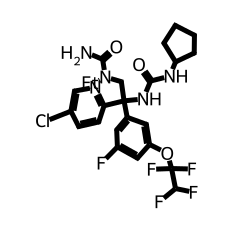 CCN(CC(NC(=O)NC1CCCC1)(c1cc(F)cc(OC(F)(F)C(F)F)c1)c1ccc(Cl)cn1)C(N)=O